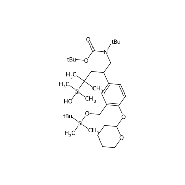 CC(C)(C)OC(=O)N(CC(CC(C)(C)[Si](C)(C)O)c1ccc(OC2CCCCO2)c(CO[Si](C)(C)C(C)(C)C)c1)C(C)(C)C